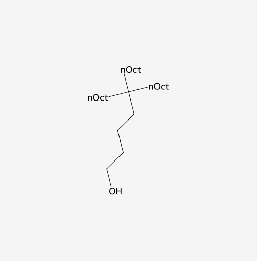 CCCCCCCCC(CCCCO)(CCCCCCCC)CCCCCCCC